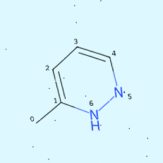 CC1=CC=C[N]N1